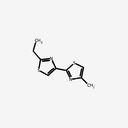 [CH2]c1csc(-c2csc(CC)n2)n1